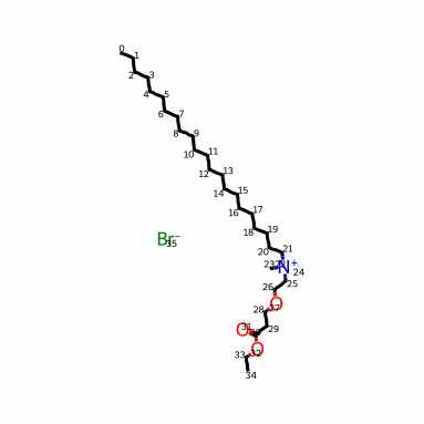 CCCCCCCCCCCCCCCCCCCCCC[N+](C)(C)CCOCCC(=O)OCC.[Br-]